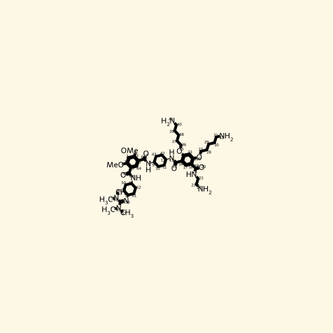 COc1cc(OC)c(C(=O)N[C@H]2CC[C@@H](NC(=O)c3cc(C(=O)NCCN)c(OCCCCCN)cc3OCCCCCN)CC2)cc1C(=O)N[C@H]1CC[C@@H](N=C(N(C)C)N(C)C)CC1